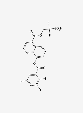 O=C(Oc1cccc2c(C(=O)OCC(F)(F)S(=O)(=O)O)cccc12)c1cc(I)cc(I)c1I